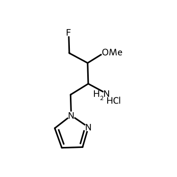 COC(CF)C(N)Cn1cccn1.Cl